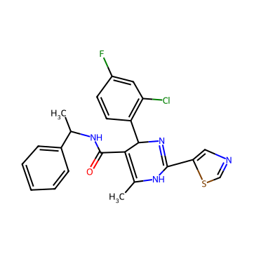 CC1=C(C(=O)NC(C)c2ccccc2)C(c2ccc(F)cc2Cl)N=C(c2cncs2)N1